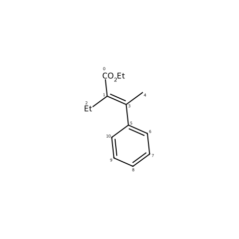 CCOC(=O)C(CC)=C(C)c1ccccc1